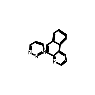 c1ccc2c(c1)ccc1pcccc12.c1cnnnc1